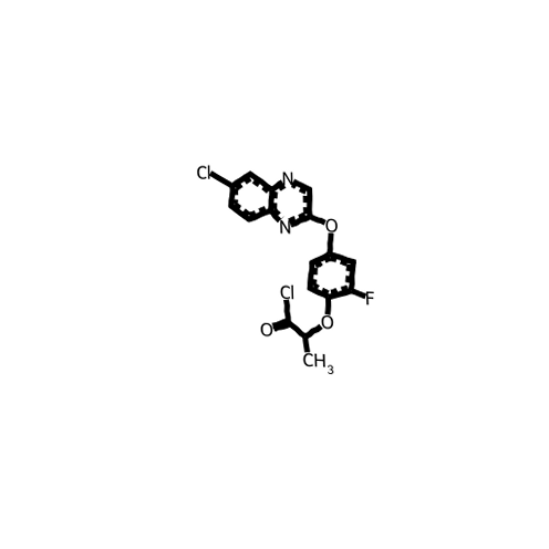 CC(Oc1ccc(Oc2cnc3cc(Cl)ccc3n2)cc1F)C(=O)Cl